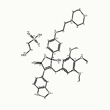 COc1cc(CC2=C(c3ccc4c(c3)OCO4)C(=O)OC2(O)c2ccc(OCCN3CCOCC3)cc2)cc(OC)c1OC.O=S(=O)(O)CCO